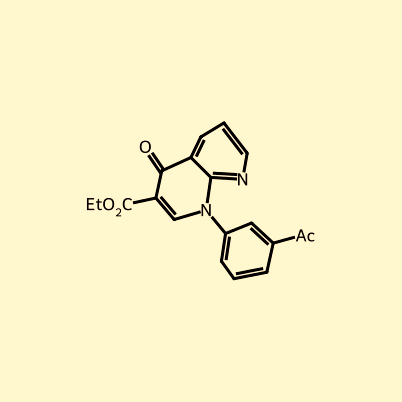 CCOC(=O)c1cn(-c2cccc(C(C)=O)c2)c2ncccc2c1=O